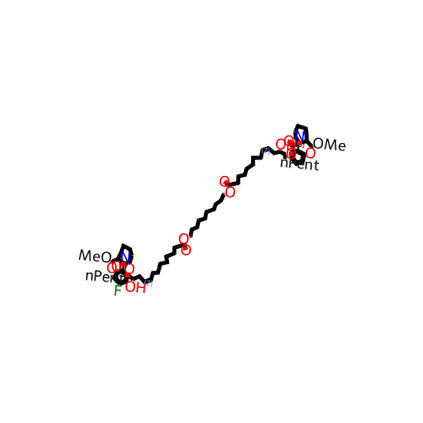 CCCCCC(OC(=O)CN1C2CCC1C(C(=O)OC)[C@@H](c1ccccc1)C2)C(O)C/C=C\CCCCCCCC(=O)OCCCCCCCCCCOC(=O)CCCCCCC/C=C\CC(O)C(CCCCC)OC(=O)N1C2CCC1C(C(=O)OC)[C@H](c1ccc(F)cc1)C2